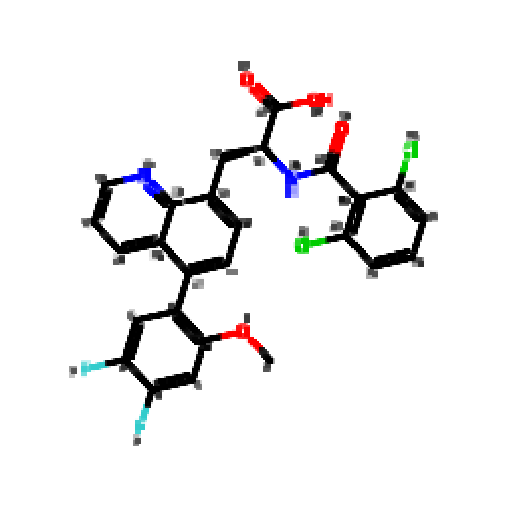 COc1cc(F)c(F)cc1-c1ccc(C[C@H](NC(=O)c2c(Cl)cccc2Cl)C(=O)O)c2ncccc12